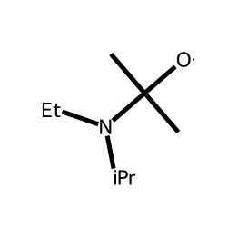 CCN(C(C)C)C(C)(C)[O]